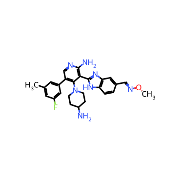 CON=Cc1ccc2[nH]c(-c3c(N)ncc(-c4cc(C)cc(F)c4)c3N3CCC(N)CC3)nc2c1